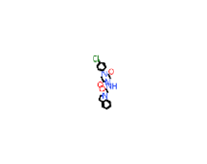 O=C(CN1CCc2ccccc21)NN1CC(=O)N(c2ccc(Cl)cc2)CC1=O